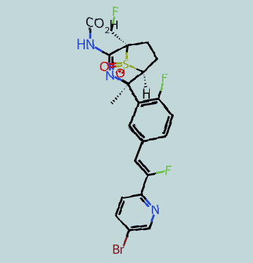 C[C@]1(c2cc(/C=C(\F)c3ccc(Br)cn3)ccc2F)N=C(NC(=O)O)[C@@]2(CF)CC[C@@H]1S2(=O)=O